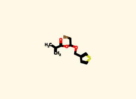 C=C(C)C(=O)OC(CBr)OCc1ccsc1